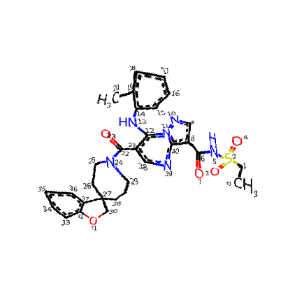 CCS(=O)(=O)NC(=O)c1cnn2c(Nc3ccccc3C)c(C(=O)N3CCC4(CC3)COc3ccccc34)cnc12